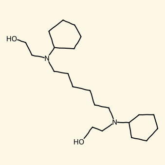 OCCN(CCCCCCN(CCO)C1CCCCC1)C1CCCCC1